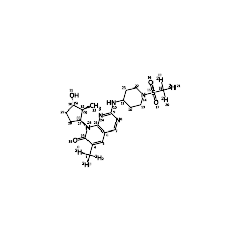 [2H]C([2H])([2H])c1cc2cnc(NC3CCN(S(=O)(=O)C([2H])([2H])[2H])CC3)nc2n([C@H]2CC[C@H](O)[C@H]2C)c1=O